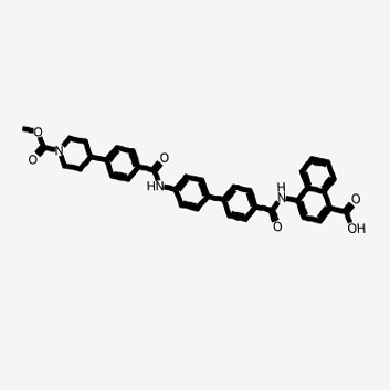 COC(=O)N1CCC(c2ccc(C(=O)Nc3ccc(-c4ccc(C(=O)Nc5ccc(C(=O)O)c6ccccc56)cc4)cc3)cc2)CC1